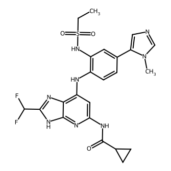 CCS(=O)(=O)Nc1cc(-c2cncn2C)ccc1Nc1cc(NC(=O)C2CC2)nc2[nH]c(C(F)F)nc12